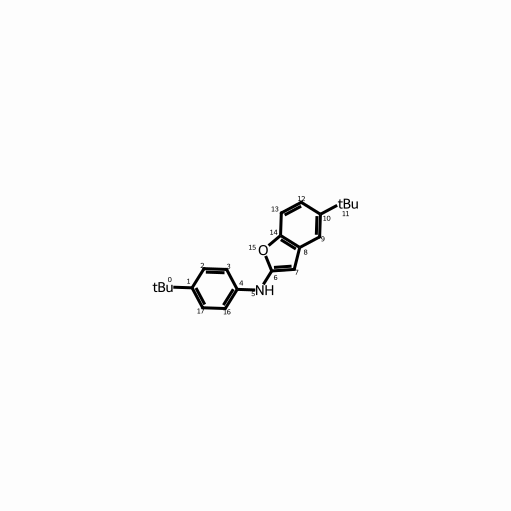 CC(C)(C)c1ccc(Nc2cc3cc(C(C)(C)C)ccc3o2)cc1